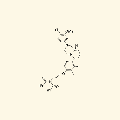 COc1cc(N2CCN3[C@@H](CCC[C@@H]3c3ccc(OCCCN(C(=O)C(C)C)C(=O)C(C)C)c(C)c3C)C2)ccc1Cl